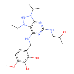 COc1ccc(CNc2nc(NCC(C)O)nc3c2N(C(C)C)NN3C(C)C)c(O)c1O